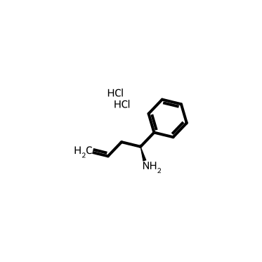 C=CC[C@H](N)c1ccccc1.Cl.Cl